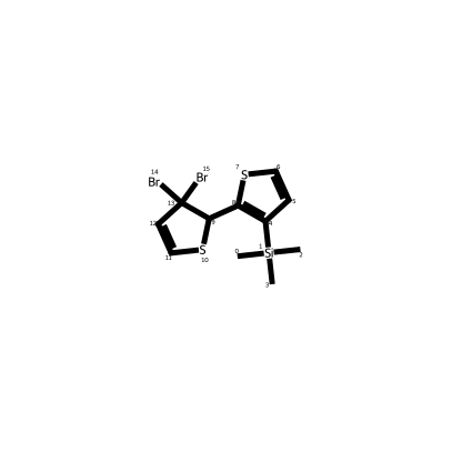 C[Si](C)(C)c1ccsc1C1SC=CC1(Br)Br